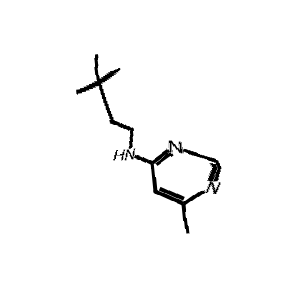 Cc1cc(NCCC(C)(C)C)ncn1